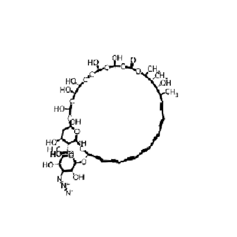 C[C@@H]1[C@H](O)[C@@H](C)/C=C/C=C/C=C/C=C/C=C/C=C/C=C/[C@H](O[C@@H]2O[C@H](C)[C@@H](O)[C@H](N=[N+]=[N-])[C@H]2O)C[C@@H]2OC(O)(C[C@@H](O)C[C@@H](O)[C@H](O)CC[C@@H](O)C[C@@H](O)CC(=O)O[C@H]1C)C[C@H](O)[C@H]2C(=O)O